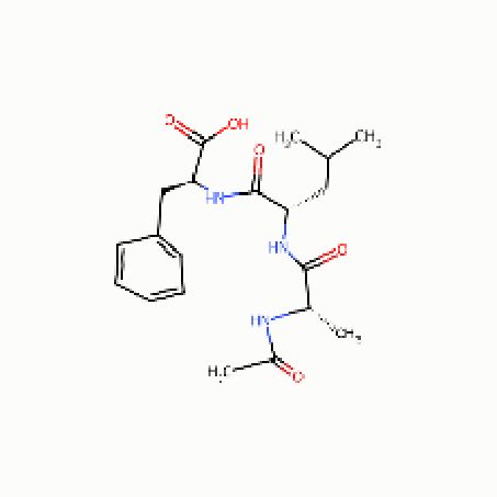 CC(=O)N[C@@H](C)C(=O)N[C@@H](CC(C)C)C(=O)N[C@@H](Cc1ccccc1)C(=O)O